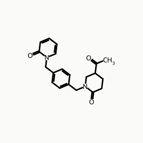 CC(=O)C1CCC(=O)N(Cc2ccc(Cn3ccccc3=O)cc2)C1